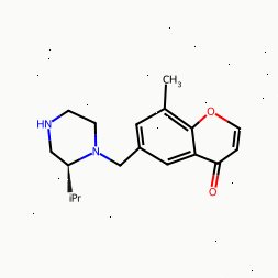 Cc1cc(CN2CCNC[C@@H]2C(C)C)cc2c(=O)ccoc12